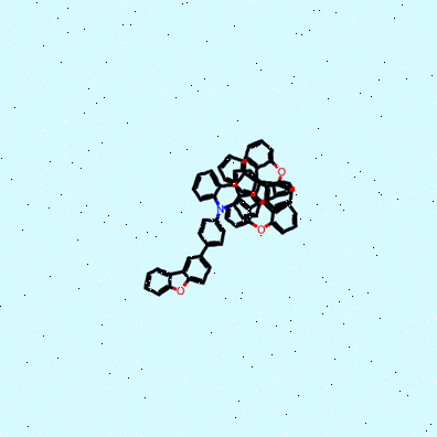 c1ccc2c(c1)Oc1ccccc1C21c2ccccc2-c2ccc(-c3ccccc3N(c3ccc(-c4ccc5oc6ccccc6c5c4)cc3)c3cccc4c3-c3ccccc3C43c4ccccc4Oc4ccccc43)cc21